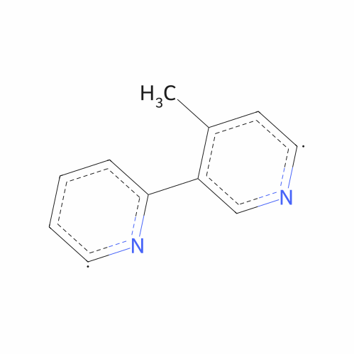 Cc1c[c]ncc1-c1ccc[c]n1